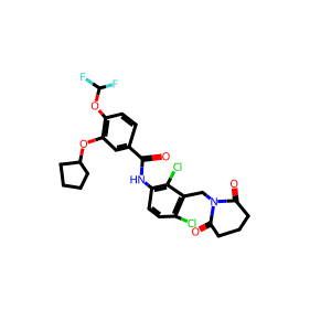 O=C(Nc1ccc(Cl)c(CN2C(=O)CCCC2=O)c1Cl)c1ccc(OC(F)F)c(OC2CCCC2)c1